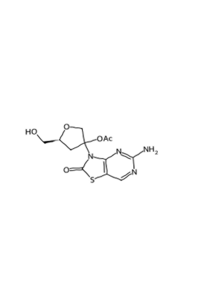 CC(=O)OC1(n2c(=O)sc3cnc(N)nc32)CO[C@H](CO)C1